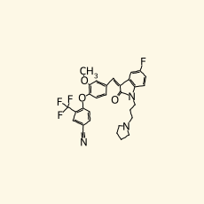 COc1cc(C=C2C(=O)N(CCCN3CCCC3)c3ccc(F)cc32)ccc1Oc1ccc(C#N)cc1C(F)(F)F